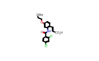 COCCOc1ccc(/C=C/C(=O)O)c(NC(=O)c2ccc(Cl)cc2Cl)c1